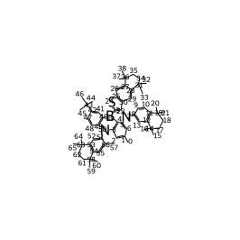 Cc1cc2c3c(c1)N(c1ccc4c(c1)C(C)(C)CCC4(C)C)c1c(sc4cc5c(cc14)C(C)(C)CCC5(C)C)B3c1cc(C(C)(C)C)ccc1N2c1cc2c(cc1C)C(C)(C)CCC2(C)C